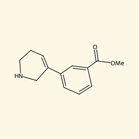 COC(=O)c1cccc(C2=CCCNC2)c1